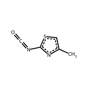 Cc1csc(N=C=O)n1